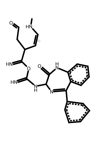 CN/C=C\C(CC=O)C(=N)OC(=N)NC1N=C(c2ccccc2)c2ccccc2NC1=O